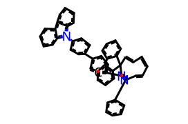 C1=C\C=C\C2(c3ccccc3-c3ccccc32)c2c(nc(-c3ccccc3)nc2-c2ccc(-c3ccc(-n4c5ccccc5c5ccccc54)cc3)cc2)/C=C/1